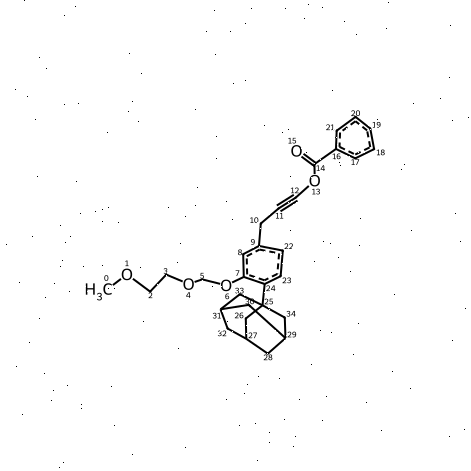 COCCOCOc1cc(CC#COC(=O)c2ccccc2)ccc1C12CC3CC(CC(C3)C1)C2